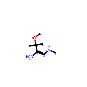 CN/C=C(/N)C(C)(C)OC